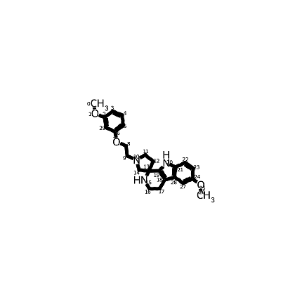 COc1cccc(OCCN2CCC3(C2)NCCc2c3[nH]c3ccc(OC)cc23)c1